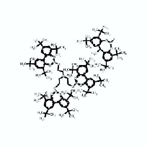 CC(C)(C)c1cc(C(C)(C)C)c2op(OCCN(CCOp3oc4c(C(C)(C)C)cc(C(C)(C)C)cc4c4cc(C(C)(C)C)cc(C(C)(C)C)c4o3)CCOp3oc4c(C(C)(C)C)cc(C(C)(C)C)cc4c4cc(C(C)(C)C)cc(C(C)(C)C)c4o3)oc3c(C(C)(C)C)cc(C(C)(C)C)cc3c2c1.CC1c2cc(C(C)(C)C)cc(C(C)(C)C)c2OP(F)Oc2c1cc(C(C)(C)C)cc2C(C)(C)C